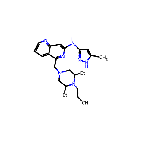 CCC1CN(Cc2nc(Nc3cc(C)[nH]n3)cc3ncccc23)CC(CC)N1CCC#N